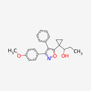 CCC(O)C1(c2onc(-c3ccc(OC)cc3)c2-c2ccccc2)CC1